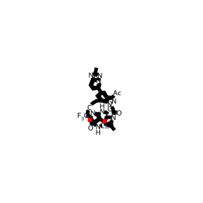 CC(=O)c1nn2c3c(cc(-c4ccc5nc(C)nn5c4)cc13)CCCCCCC(=O)NC[C@@]13C[C@@H](C(=O)Nc4nc(C(F)(F)F)ccc4C)N(C(=O)C2)C1C3C